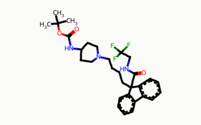 CC(C)(C)OC(=O)NC1CCN(CCCCC2(C(=O)NCC(F)(F)F)c3ccccc3-c3ccccc32)CC1